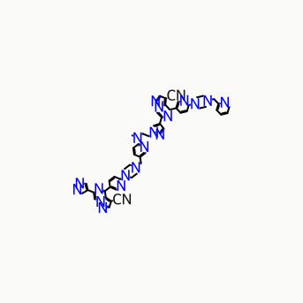 CN(CCn1cc(-c2cn3ncc(C#N)c3c(-c3ccc(N4CCN(Cc5ccccn5)CC4)nc3)n2)cn1)c1ccc(CN2CCN(c3ccc(-c4nc(-c5cnn(C)c5)cn5ncc(C#N)c45)cn3)CC2)cn1